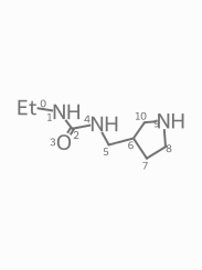 CCNC(=O)NCC1CCNC1